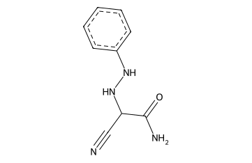 N#CC(NNc1ccccc1)C(N)=O